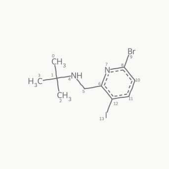 CC(C)(C)NCc1nc(Br)ccc1I